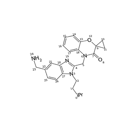 CC(C)CCn1c(CN2C(=O)C3(CC3)Oc3ccccc32)nc2cc(CN)ccc21